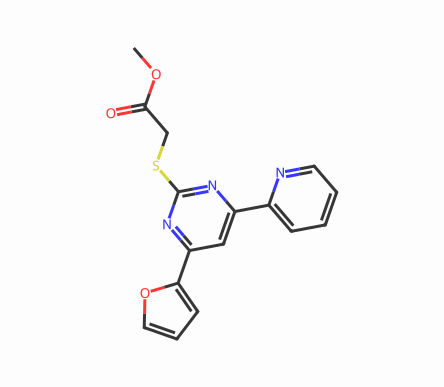 COC(=O)CSc1nc(-c2ccccn2)cc(-c2ccco2)n1